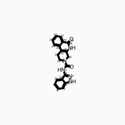 O=C(Nc1n[nH]c2ccccc12)N1CCc2c([nH]c(=O)c3ccccc23)C1